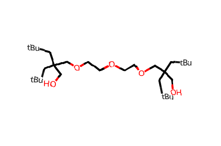 CC(C)(C)CC(CO)(COCCOCCOCC(CO)(CC(C)(C)C)CC(C)(C)C)CC(C)(C)C